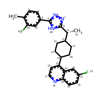 Cc1ccc(-c2nnc([C@H](C)C3CCC(c4ccnc5ccc(F)cc45)CC3)[nH]2)cc1F